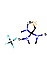 CCCCN(C)C(C[PH3+])(N(C)CCCC)N(C)CCCC.F[B-](F)(F)F